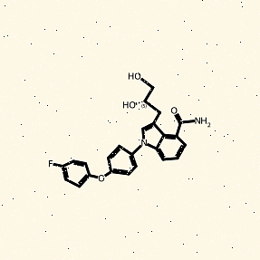 NC(=O)c1cccc2c1c(C[C@H](O)CO)cn2-c1ccc(Oc2ccc(F)cc2)cc1